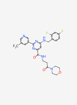 O=C(NCCC(=O)N1CCOCC1)c1cc(NCc2ccc(F)cc2F)nc(-c2cncc(C(F)(F)F)c2)n1